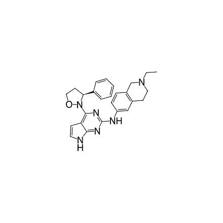 CCN1CCc2cc(Nc3nc(N4OCC[C@H]4c4ccccc4)c4cc[nH]c4n3)ccc2C1